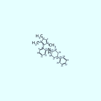 CC1=CC(C)C(C)=C1c1ccccc1NC1CCC(c2ccccc2)CC1